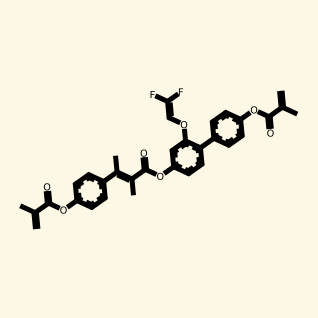 C=C(C)C(=O)Oc1ccc(/C(C)=C(\C)C(=O)Oc2ccc(-c3ccc(OC(=O)C(=C)C)cc3)c(OC=C(F)F)c2)cc1